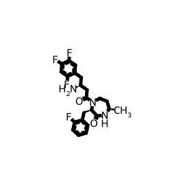 C[C@@H]1CCN(C(=O)C[C@H](N)Cc2cc(F)c(F)cc2F)[C@H](Cc2ccccc2F)C(=O)N1